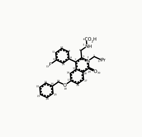 CC(C)Cn1c(CNC(=O)O)c(-c2cccc(F)c2)c2cc(OCc3ccccc3)ccc2c1=O